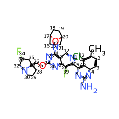 Cc1ccc2nc(N)nc(-c3ncc4c(N5CC6CCC(C5)O6)nc(OC[C@@]56CCCN5C[C@H](F)C6)nc4c3F)c2c1Cl